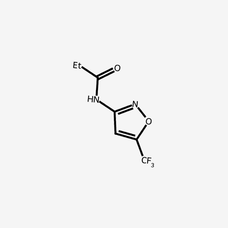 CCC(=O)Nc1cc(C(F)(F)F)on1